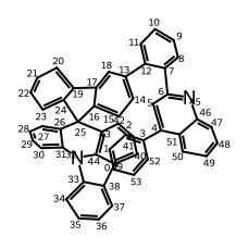 c1ccc(-c2cc(-c3ccccc3-c3ccc4c(c3)-c3ccccc3C43c4ccccc4-n4c5ccccc5c5cccc3c54)nc3ccccc23)cc1